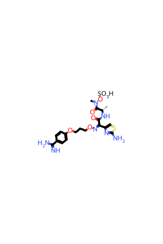 C[C@H](NC(=O)/C(=N\OCCCOc1ccc(C(=N)N)cc1)c1csc(N)n1)C(=O)N(C)OS(=O)(=O)O